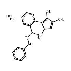 CC1=CC(C)C(c2ccccc2[CH](C)[Ti][NH]c2ccccc2)=C1C.Cl.Cl